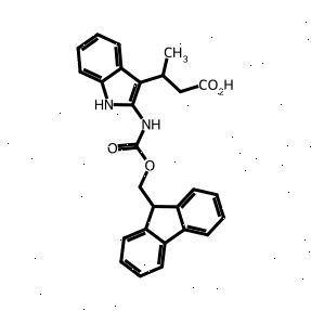 CC(CC(=O)O)c1c(NC(=O)OCC2c3ccccc3-c3ccccc32)[nH]c2ccccc12